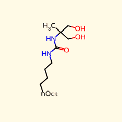 CCCCCCCCCCCCNC(=O)NC(C)(CO)CO